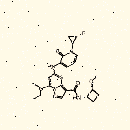 CCN(C)c1cc(Nc2cccn([C@H]3C[C@@H]3F)c2=O)nc2c(C(=O)N[C@H]3CC[C@@H]3OC)cnn12